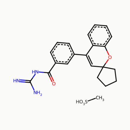 CS(=O)(=O)O.N=C(N)NC(=O)c1cccc(C2=CC3(CCCC3)Oc3ccccc32)c1